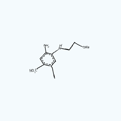 COCCNc1cc(C)c(C(=O)O)cc1N